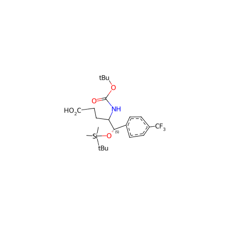 CC(C)(C)OC(=O)NC(CCC(=O)O)[C@@H](O[Si](C)(C)C(C)(C)C)c1ccc(C(F)(F)F)cc1